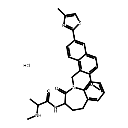 CNC(C)C(=O)NC1CCc2ccccc2N(Cc2c(OC)ccc3cc(-c4nc(C)cs4)ccc23)C1=O.Cl